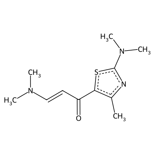 Cc1nc(N(C)C)sc1C(=O)/C=C/N(C)C